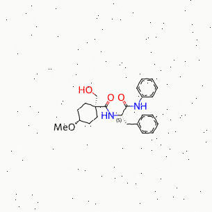 CO[C@H]1CC[C@@](CO)(C(=O)N[C@@H](Cc2ccccc2)C(=O)Nc2ccccc2)CC1